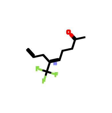 C=CC/C(=C\CCC(C)=O)C(F)(F)F